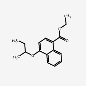 CCOC(=O)c1ccc(OC(C)CC)c2ccccc12